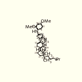 COc1ccc(Nc2nc3c(s2)C2=CC[C@@H]4[C@H](CC[C@]5(C)C(C(C)CCCC(C)C)CC[C@@H]45)[C@@]2(C)CC3)c(OC)c1